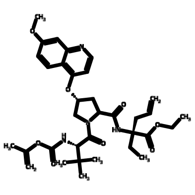 C=CC[C@@](CC)(NC(=O)C1C[C@@H](Oc2ccnc3cc(OC)ccc23)CN1C(=O)[C@@H](NC(=O)OC(=C)C)C(C)(C)C)C(=O)OCC